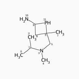 CC(C)N(C)CC1(C)CC(N)P1